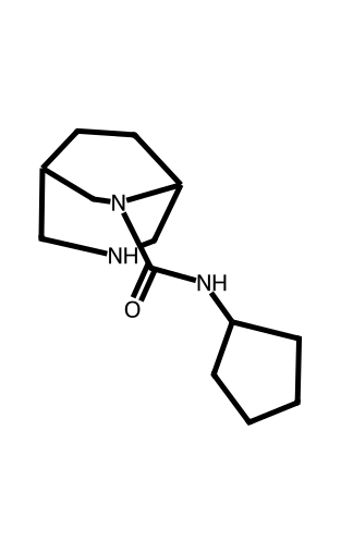 O=C(NC1CCCC1)N1CC2CCC1CNC2